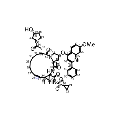 COc1ccc2c(O[C@@H]3C[C@H]4C(=O)N[C@]5(C(=O)NS(=O)(=O)C6CC6)C[C@H]5/C=C\CCCCC[C@H](CC(=O)N5CC[C@H](O)C5)C(=O)N4C3)cc(-c3ccccc3)nc2c1